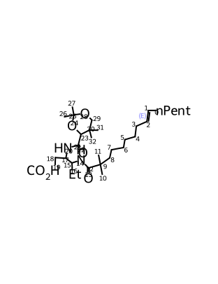 CCCCC/C=C/CCCCCCC(C)(C)C(=O)NC(CC)C(CC(=O)O)NC(=O)C1OC(C)(C)OCC1(C)C